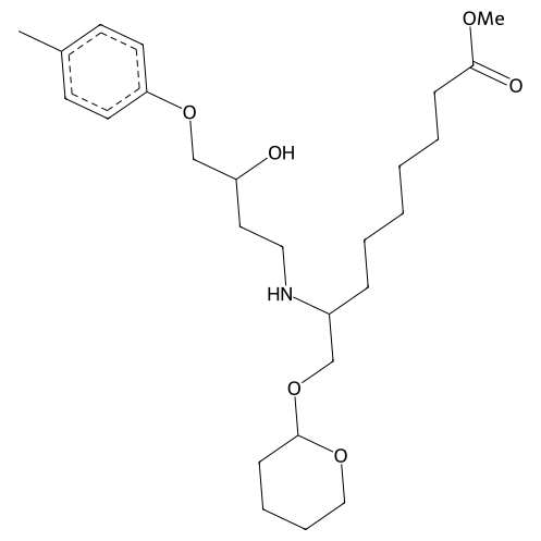 COC(=O)CCCCCCC(COC1CCCCO1)NCCC(O)COc1ccc(C)cc1